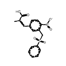 CC(=Cc1ccc([N+](=O)[O-])c(CS(=O)(=O)c2ccccc2)c1)C(=O)O